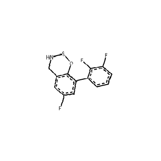 Fc1cc2c(c(-c3cccc(F)c3F)c1)OSNC2